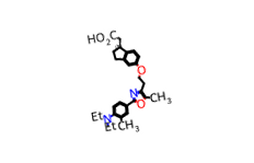 CCN(CC)c1ccc(-c2nc(CCOc3ccc4c(c3)CC[C@H]4CC(=O)O)c(C)o2)cc1C